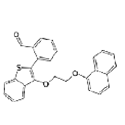 O=Cc1ccccc1-c1sc2ccccc2c1OCCOc1cccc2ccccc12